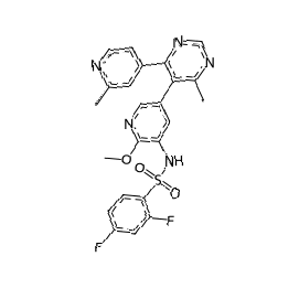 COc1ncc(-c2c(C)ncnc2-c2ccnc(C)c2)cc1NS(=O)(=O)c1ccc(F)cc1F